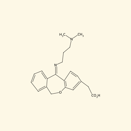 CN(C)CCCN=C1c2ccccc2COc2cc(CC(=O)O)ccc21